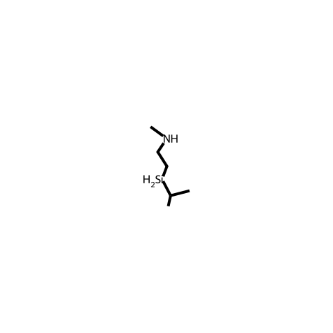 CNCC[SiH2]C(C)C